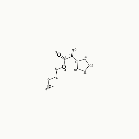 C=C(C(=O)OCCCC(C)C)C1CCCC1